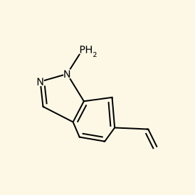 C=Cc1ccc2cnn(P)c2c1